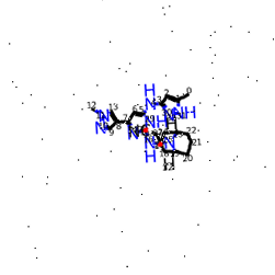 Cc1cc(NC2=CC(c3cnn(C)c3)=NC(N[C@@H]3C[C@H]4CCC[C@@H](C3)N4CCC#N)N2)n[nH]1